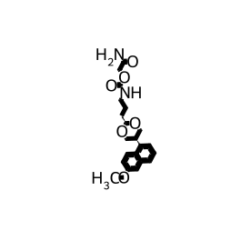 COc1ccc2c(cccc2[C@H]2CO[C@@H](CCCNC(=O)OCC(N)=O)OC2)c1